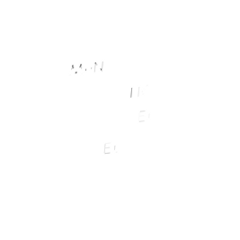 CCC(=CCNC)CC.Cl